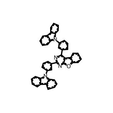 c1cc(-c2nc(-c3cccc(-n4c5ccccc5c5ccccc54)c3)c3c(n2)oc2ccccc23)cc(-n2c3ccccc3c3ccccc32)c1